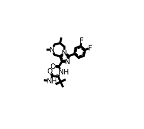 CNC(=O)[C@@H](NC(=O)c1nc(-c2ccc(F)c(F)c2)n2c1CN(C)CC(C)C2)C(C)(C)C